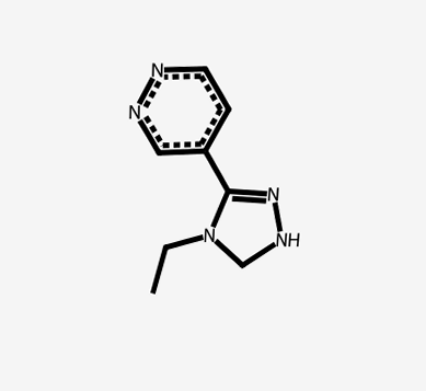 CCN1CNN=C1c1ccnnc1